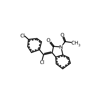 CC(=O)N1C(=O)/C(=C(/Cl)c2ccc(Cl)cc2)c2ccccc21